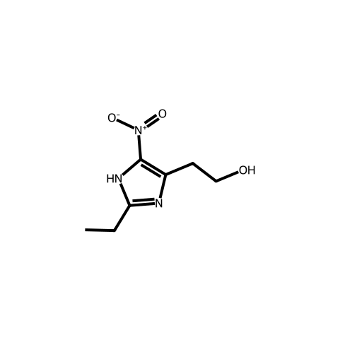 CCc1nc(CCO)c([N+](=O)[O-])[nH]1